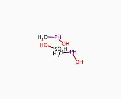 CPO.CPO.O=S(=O)(O)O